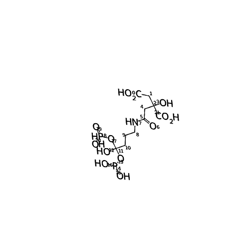 O=C(O)CC(O)(CC(=O)NCCCC(O)(OP(O)O)O[PH](=O)O)C(=O)O